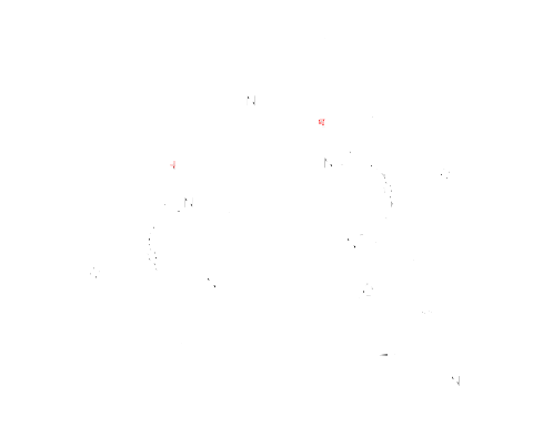 CC(C)(C)c1cccc2c3ccccc3n(-c3c(C#N)c(-n4c5ccccc5c5cccc(C(C)(C)C)c54)c(-n4c5ccccc5c5cccc(C(C)(C)C)c54)c(-c4cccc5c4oc4ccncc45)c3-n3c4ccccc4c4cccc(C(C)(C)C)c43)c12